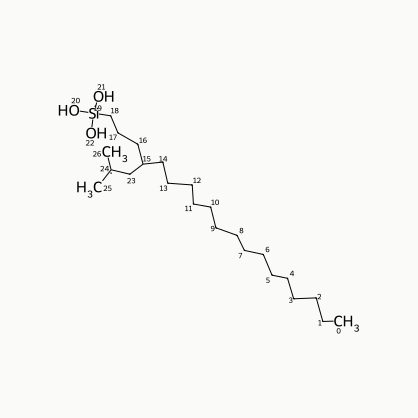 CCCCCCCCCCCCCCCC(CCC[Si](O)(O)O)C[C](C)C